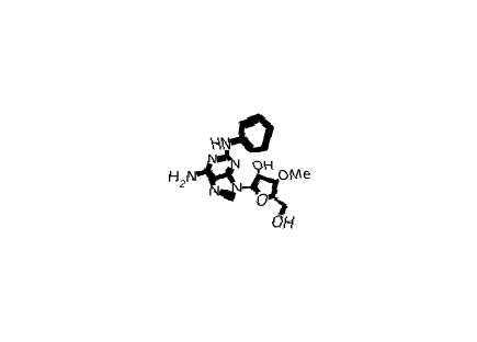 CO[C@H]1[C@@H](O)[C@H](n2cnc3c(N)nc(Nc4ccccc4)nc32)O[C@@H]1CO